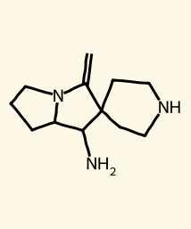 C=C1N2CCCC2C(N)C12CCNCC2